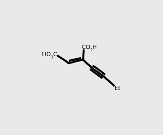 CCC#C/C(=C/C(=O)O)C(=O)O